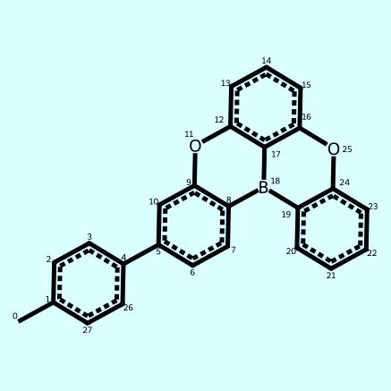 Cc1ccc(-c2ccc3c(c2)Oc2cccc4c2B3c2ccccc2O4)cc1